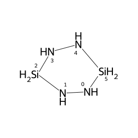 N1N[SiH2]NN[SiH2]1